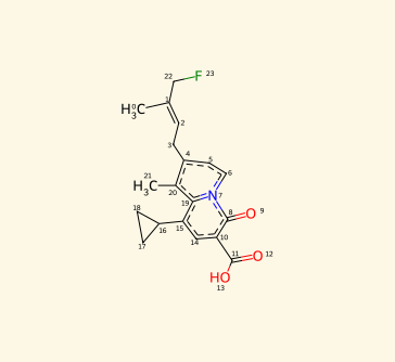 C/C(=C\Cc1ccn2c(=O)c(C(=O)O)cc(C3CC3)c2c1C)CF